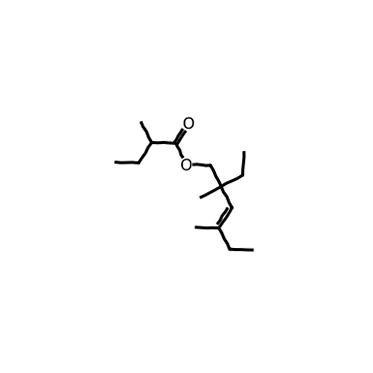 CCC(C)=CC(C)(CC)COC(=O)C(C)CC